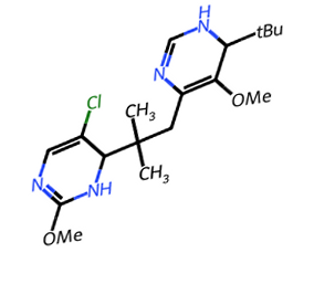 COC1=NC=C(Cl)C(C(C)(C)CC2=C(OC)C(C(C)(C)C)NC=N2)N1